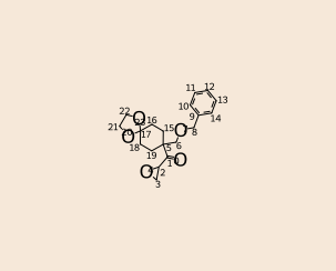 O=C(C1CO1)C1(COCc2ccccc2)CCC2(CC1)OCCO2